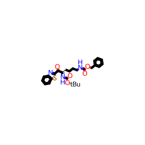 CC(C)(C)OC(=O)N[C@@H](CCCCNC(=O)OCc1ccccc1)C(=O)c1nc2ccccc2s1